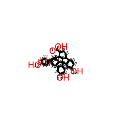 O=C(O)c1ccc2c(c1C#Cc1ccc(O)cc1)C(c1ccc(O)cc1)(c1ccc(O)cc1)c1cc(O)ccc1-2